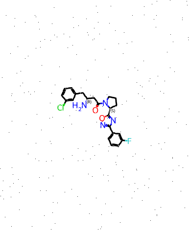 N[C@@H](CC(=O)N1CCC[C@H]1c1nc(-c2cccc(F)c2)no1)Cc1cccc(Cl)c1